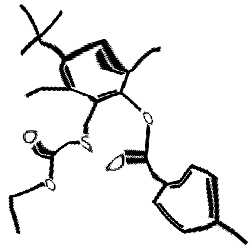 CCOC(=O)Sc1c(C)c(C(C)(C)C)cc(C)c1OC(=O)c1ccc(C)cc1